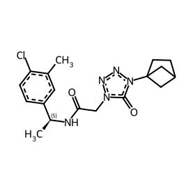 Cc1cc([C@H](C)NC(=O)Cn2nnn(C34CCC(C3)C4)c2=O)ccc1Cl